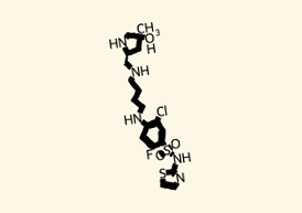 CC1(O)CN[C@H](CNCCCCNc2cc(F)c(S(=O)(=O)Nc3nccs3)cc2Cl)C1